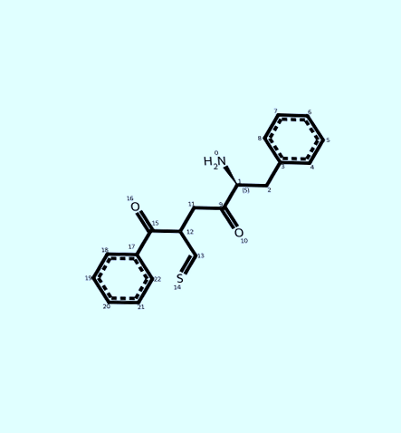 N[C@@H](Cc1ccccc1)C(=O)CC([C]=S)C(=O)c1ccccc1